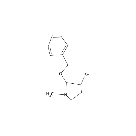 CN1CCC(S)C1OCc1ccccc1